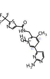 C=C(CNC(=O)c1cnc(C(F)(F)F)s1)/C(C)=C\C(=C/CC)c1ccnc(N)n1